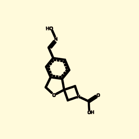 O=C(O)N1CC2(C1)OCc1cc(/C=N/O)ccc12